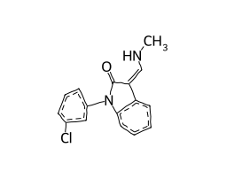 CNC=C1C(=O)N(c2cccc(Cl)c2)c2ccccc21